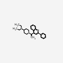 C=C(c1cc(-c2ccccc2)nc2ccccc12)N1CCC(N(CC)CC)CC1